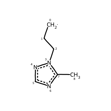 [CH2]CCn1ncnc1C